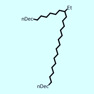 [CH2]CC(CCCCCCCCCCCCCCCC)CCCCCCCCCCCCCCCCCCCCCCCCC